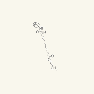 CCCCOC(=O)CCCCCCCCCCCNC(=O)NC12CC3CC(C1)C(C3)C2